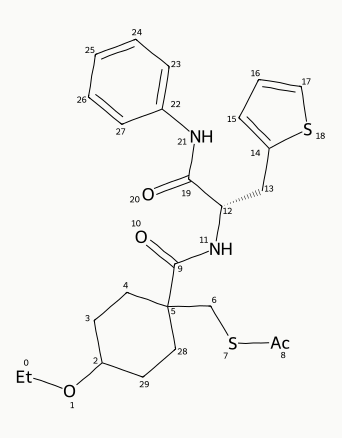 CCOC1CCC(CSC(C)=O)(C(=O)N[C@@H](Cc2cccs2)C(=O)Nc2ccccc2)CC1